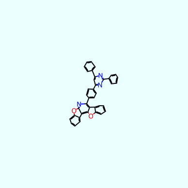 c1ccc(-c2cc(-c3ccc(-c4nc5oc6ccccc6c5c5oc6ccccc6c45)cc3)nc(-c3ccccc3)n2)cc1